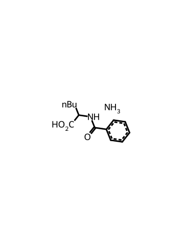 CCCCC(NC(=O)c1ccccc1)C(=O)O.N